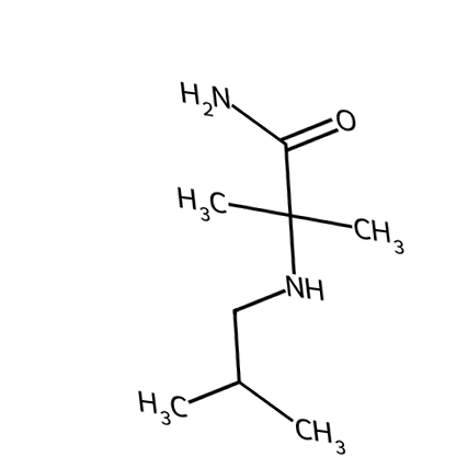 CC(C)CNC(C)(C)C(N)=O